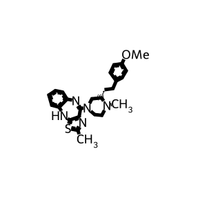 COc1ccc(CC[C@H]2CN(C3=Nc4ccccc4Nc4sc(C)nc43)CCN2C)cc1